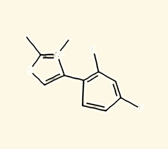 Cc1scc(-c2ccc(F)cc2F)[n+]1C